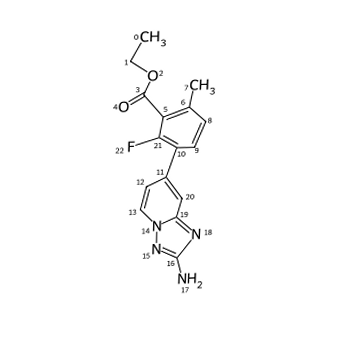 CCOC(=O)c1c(C)ccc(-c2ccn3nc(N)nc3c2)c1F